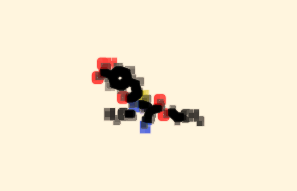 C=CCOC(=O)/C(C#N)=c1\sc(=Cc2ccc(C(=O)O)cc2)c(=O)n1CC